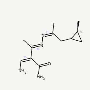 C/C(CC1C[C@@H]1C)=N/N=C(C)/C(=C/N)C(N)=O